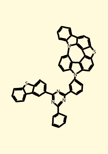 c1ccc(-c2nc(-c3cccc(-n4c5ccc6sc7ccc8c9ccccc9n9c%10cccc4c%10c5c6c7c89)c3)nc(-c3ccc4sc5ccccc5c4c3)n2)cc1